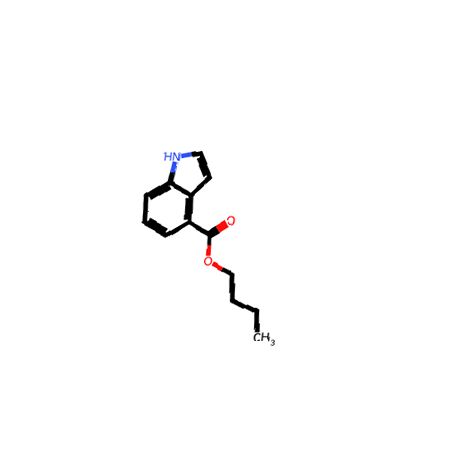 CCCCOC(=O)c1cccc2[nH]ccc12